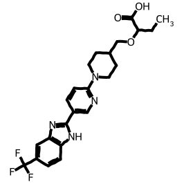 CCC(OCC1CCN(c2ccc(-c3nc4cc(C(F)(F)F)ccc4[nH]3)cn2)CC1)C(=O)O